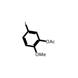 COc1ccc(I)cc1OC(C)=O